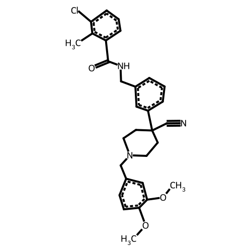 COc1ccc(CN2CCC(C#N)(c3cccc(CNC(=O)c4cccc(Cl)c4C)c3)CC2)cc1OC